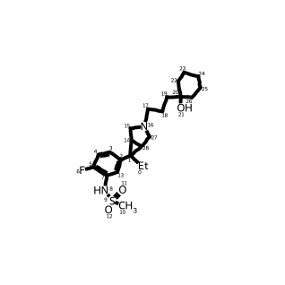 CCC1(c2ccc(F)c(NS(C)(=O)=O)c2)C2CN(CCCC3(O)CCCCC3)CC21